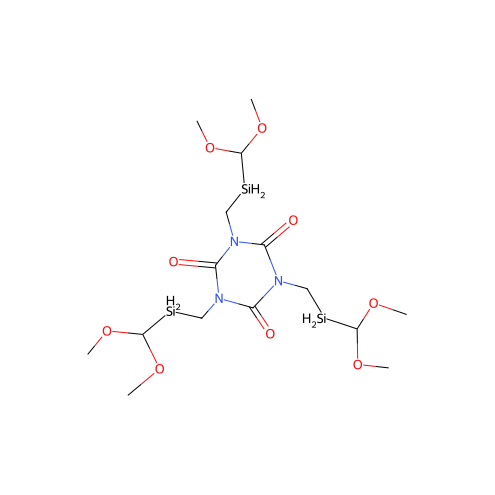 COC(OC)[SiH2]Cn1c(=O)n(C[SiH2]C(OC)OC)c(=O)n(C[SiH2]C(OC)OC)c1=O